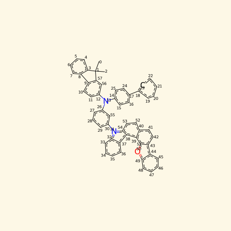 CC1(C)c2ccccc2-c2ccc(N(c3ccc(-c4ccccc4)cc3)c3cccc(-n4c5ccccc5c5c6c(ccc7c8ccccc8oc76)ccc54)c3)cc21